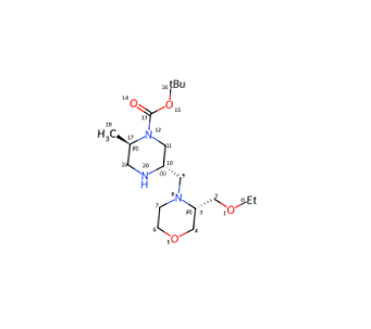 CCOC[C@@H]1COCCN1C[C@H]1CN(C(=O)OC(C)(C)C)[C@H](C)CN1